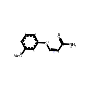 COc1cccc(S/C=C\C(N)=O)c1